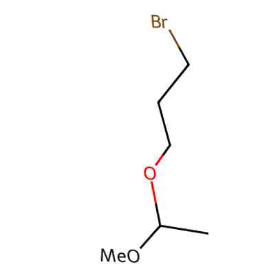 COC(C)OCCCBr